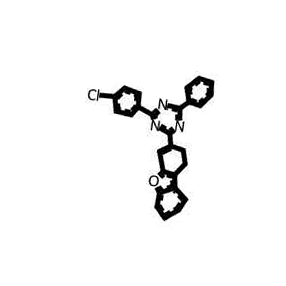 Clc1ccc(-c2nc(C3=Cc4oc5ccccc5c4CC3)nc(-c3ccccc3)n2)cc1